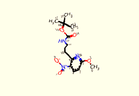 COc1ccc([N+](=O)[O-])c(CCNC(=O)OC(C)(C)C)n1